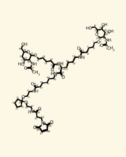 CC(=O)NC1[C@H](OCCCCC(=O)NCCCC[C@H](NC(=O)CCCCOC2OC(CO)C[C@H](O)[C@@H]2NC(C)=O)C(=O)NCCCCCC(=O)NCCOC2(OCCNC(=O)CCN3C(=O)C=CC3=O)CCCC2)OC(CO)C(O)[C@@H]1O